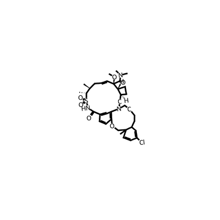 CO[C@]1(C(=O)N(C)C)/C=C/C[C@H](C)[C@@H](C)S(=O)(=O)NC(=O)c2ccc3c(c2)N(CCCCC2C=C(Cl)C=CC2(C)CO3)C[C@@H]2CC[C@H]21